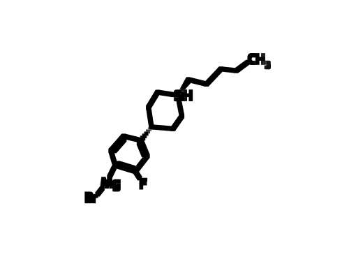 CCCCC[Si@H]1CC[C@H](c2cc[c]([Mg][Br])c(F)c2)CC1